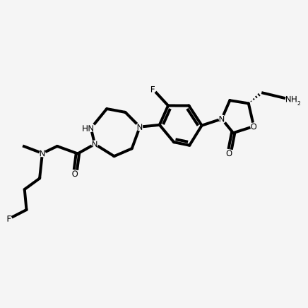 CN(CCCF)CC(=O)N1CCN(c2ccc(N3C[C@H](CN)OC3=O)cc2F)CCN1